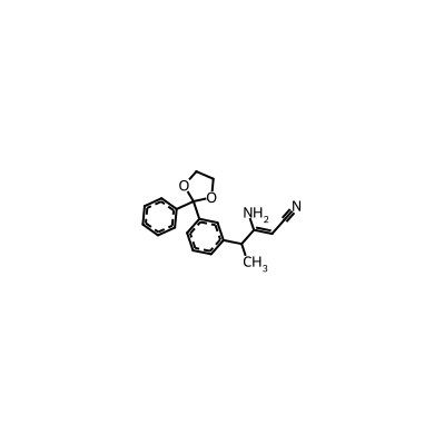 CC(C(N)=CC#N)c1cccc(C2(c3ccccc3)OCCO2)c1